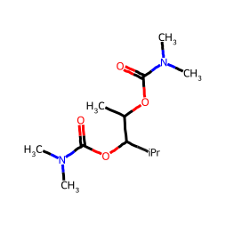 CC(C)C(OC(=O)N(C)C)C(C)OC(=O)N(C)C